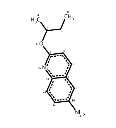 CCC(C)Oc1ccc2cc(N)ccc2n1